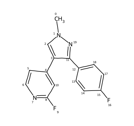 Cn1cc(-c2ccnc(F)c2)c(-c2ccc(F)cc2)n1